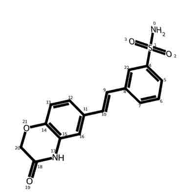 NS(=O)(=O)c1cccc(/C=C/c2ccc3c(c2)NC(=O)CO3)c1